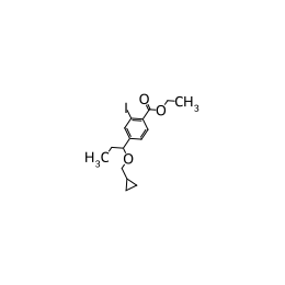 CCOC(=O)c1ccc(C(CC)OCC2CC2)cc1I